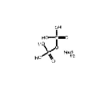 O=P(O)(O)OP(=O)(O)O.[Fe].[NaH]